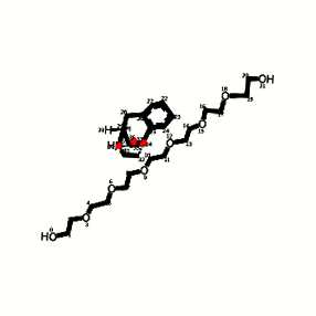 OCCOCCOCCOCCOCCOCCOCCO.c1ccc2c(c1)C[C@H]1NCC[C@@]23CCCC[C@@H]13